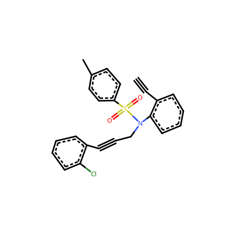 C#Cc1ccccc1N(CC#Cc1ccccc1Cl)S(=O)(=O)c1ccc(C)cc1